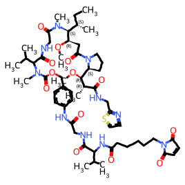 CC[C@H](C)[C@@H]([C@@H](CC(=O)N1CCC[C@H]1[C@H](OC)[C@@H](C)C(=O)NCc1nccs1)OC)N(C)C(=O)CNC(=O)C(C(C)C)N(C)C(=O)OCc1ccc(NC(=O)CNC(=O)C(NC(=O)CCCCCN2C(=O)C=CC2=O)C(C)C)cc1